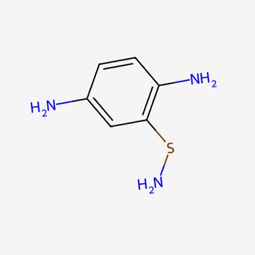 NSc1cc(N)ccc1N